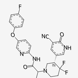 CC(C(=O)Nc1ccc(Oc2ccc(F)cc2)cn1)N1CCC(F)(F)[C@@H](c2c[nH]c(=O)c(C#N)c2)C1